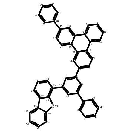 c1ccc(-c2cc(-c3ccc4c5ccccc5c5cc(-c6ccccc6)ccc5c4c3)cc(-c3cccc4c3sc3ccccc34)c2)cc1